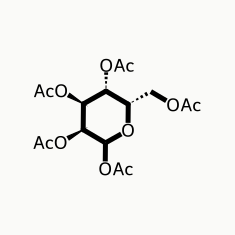 CC(=O)OC[C@@H]1OC(OC(C)=O)[C@@H](OC(C)=O)[C@@H](OC(C)=O)[C@@H]1OC(C)=O